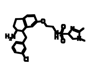 CC1=NC(S(=O)(=O)NCCOc2ccc3c(c2)C(Cc2cccc(Cl)c2)C(N)CC3)CN1C